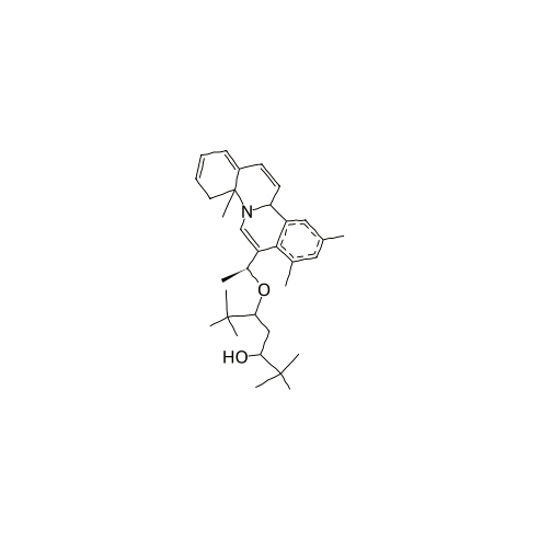 Cc1cc(C)c2c(c1)C1C=CC3=CC=CCC3(C)N1C=C2[C@H](C)OC(CC(O)C(C)(C)C)C(C)(C)C